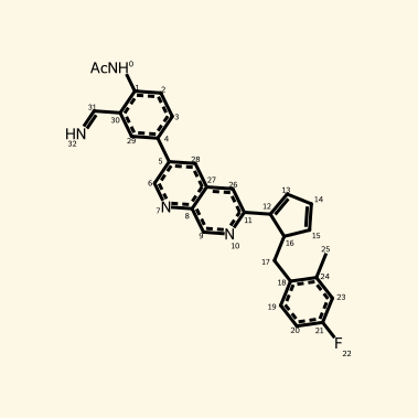 CC(=O)Nc1ccc(-c2cnc3cnc(C4=CC=CC4Cc4ccc(F)cc4C)cc3c2)cc1C=N